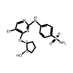 CCc1cnc(Nc2ccc(S(N)(=O)=O)cc2)nc1O[C@H]1CCC[C@H]1O